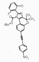 CC(C)(C)OC(=O)n1c(-c2c(F)cccc2Cl)nc2c1-c1ccc(C#Cc3ccc([N+](=O)[O-])cc3)cc1OC2(C)C